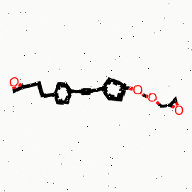 C(#Cc1ccc(OCOCC2CO2)cc1)c1ccc(CCC2CO2)cc1